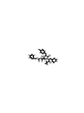 Cc1ccc(CC(NC(=O)C(C)NC(=O)OCc2ccccc2)C(=O)NC(Cc2ccccc2)C(=O)C2(C)CO2)cc1